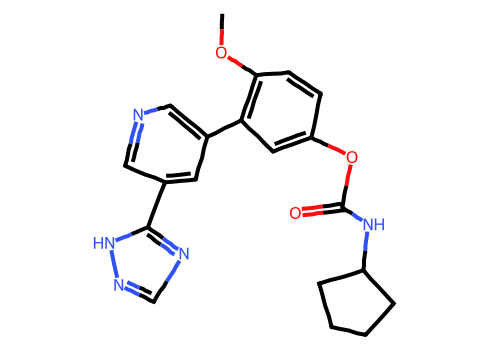 COc1ccc(OC(=O)NC2CCCC2)cc1-c1cncc(-c2ncn[nH]2)c1